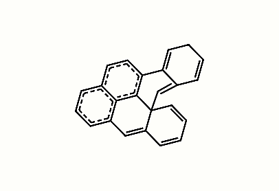 C1=CC2=Cc3cccc4ccc5c(c34)C2(C=C1)C=C1C=CCC=C15